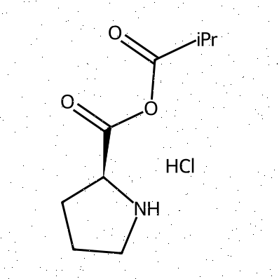 CC(C)C(=O)OC(=O)[C@@H]1CCCN1.Cl